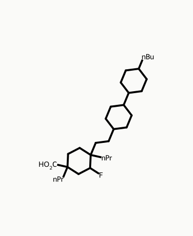 CCCCC1CCC(C2CCC(CCC3(CCC)CCC(CCC)(C(=O)O)CC3F)CC2)CC1